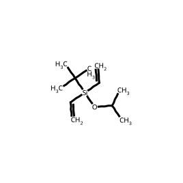 C=C[Si](C=C)(OC(C)C)C(C)(C)C